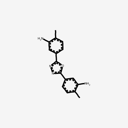 Cc1ccc(-c2nnc(-c3ccc(C)c(N)c3)o2)cc1N